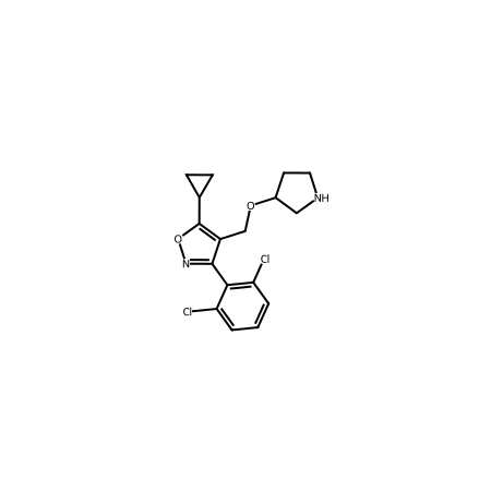 Clc1cccc(Cl)c1-c1noc(C2CC2)c1COC1CCNC1